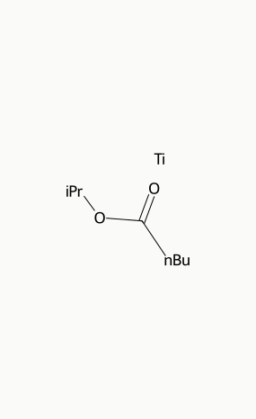 CCCCC(=O)OC(C)C.[Ti]